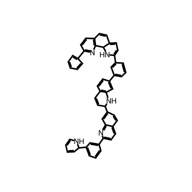 C1=CNC(c2cccc(-c3ccc4ccc(C5C=Cc6ccc(-c7cccc(C8=CC=C9C=Cc%10ccc(-c%11ccccc%11)nc%10C9N8)c7)cc6N5)cc4n3)c2)C=C1